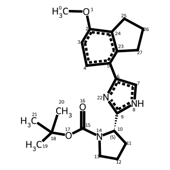 COc1ccc(-c2c[nH]c([C@@H]3CCCN3C(=O)OC(C)(C)C)n2)c2c1CCC2